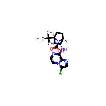 CC(C)(C)C12CC[C@@H]([C@H](Nc3nccn4c(Br)cnc34)C1)N2C(=O)O